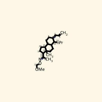 C=C/C=C1/CCC2C(CCC3(C)C(/C(C)=N/OCOC)CCC23)C1CCC